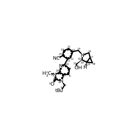 Cn1c(=O)n(CC(C)(C)C)c2ccc(-c3cc(CN4CC5C[C@@H]5[C@H]4CO)ccc3C#N)nc21